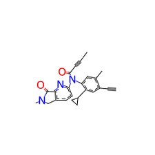 C#Cc1cc(C2CC2)c(N(C(=O)C#CC)c2ccc3c(n2)C(=O)N(C)C3)cc1C